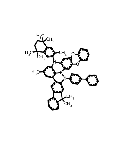 Cc1cc2c3c(c1)N(c1cc4c(cc1C)C(C)(C)CCC4(C)C)c1cc4c(cc1B3N(c1ccc(-c3ccccc3)cc1)c1cc3c(cc1-2)-c1ccccc1C3(C)C)Oc1ccccc1O4